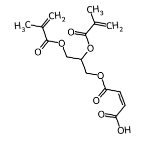 C=C(C)C(=O)OCC(COC(=O)/C=C\C(=O)O)OC(=O)C(=C)C